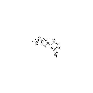 CCS(=O)(=O)c1ccc(-c2cc(C#N)c(=O)[nH]c2C)cc1